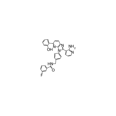 Nc1ncccc1-c1nc2ccc(-c3ccccc3O)nc2n1-c1ccc(CNC(=O)c2cccc(F)c2)cc1